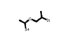 CCC(C)COC(C)S